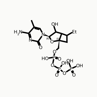 CCC1C[C@]2(COP(=O)(O)OP(=O)(O)OP(=O)(O)O)O[C@@H](n3cc(C)c(N)nc3=O)C(O)C12